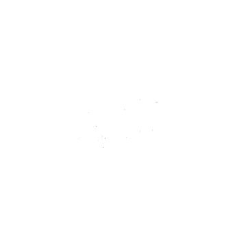 COC1(c2ccc(F)c(F)c2)CCN(C(C)C)C1